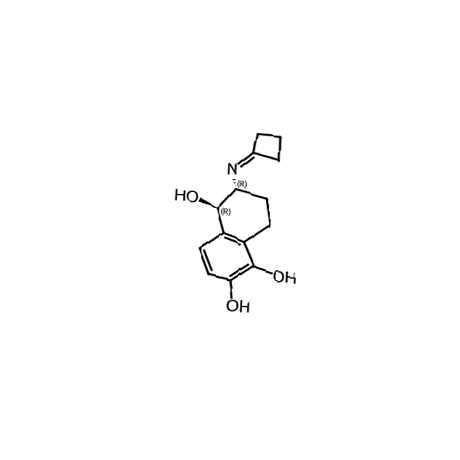 Oc1ccc2c(c1O)CC[C@@H](N=C1CCC1)[C@@H]2O